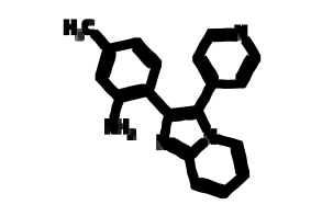 Cc1ccc(-c2nc3ccccn3c2-c2ccncc2)c(N)c1